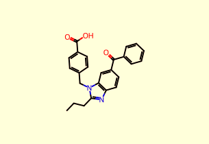 CCCc1nc2ccc(C(=O)c3ccccc3)cc2n1Cc1ccc(C(=O)O)cc1